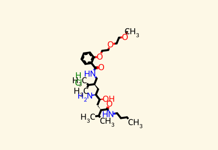 CCCCNC(=O)[C@@H](C[C@H](O)[C@@H](N)C[C@H](CNC(=O)c1ccccc1OCCOCCOC)C(C)C)C(C)C.Cl